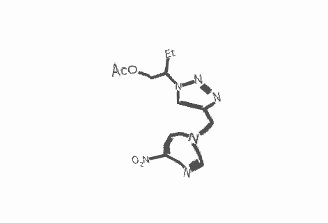 CCC(COC(C)=O)n1cc(Cn2cnc([N+](=O)[O-])c2)nn1